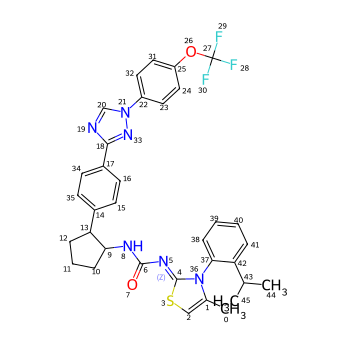 Cc1cs/c(=N\C(=O)NC2CCCC2c2ccc(-c3ncn(-c4ccc(OC(F)(F)F)cc4)n3)cc2)n1-c1ccccc1C(C)C